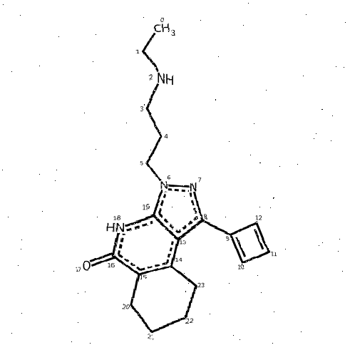 CCNCCCn1nc(C2=CC=C2)c2c3c(c(=O)[nH]c21)CCCC3